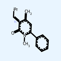 C=c1cc(-c2ccccc2)n(C)c(=O)/c1=C/C(C)C